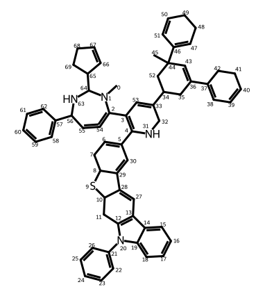 CN1C(C2=C(C3=CCC4SC5Cc6c(c7ccccc7n6-c6ccccc6)C=C5C4=C3)NCC(C3CC(C4=CC=CCC4)=CC(C)(C4=CCCC=C4)C3)=C2)=C=CC(c2ccccc2)NC1C1C=CCC1